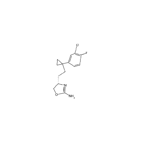 NC1=N[C@@H](CCC2(c3ccc(F)c(Cl)c3)CC2)CO1